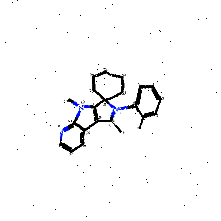 Cc1ccccc1N1[C@@H](C)c2c(n(C)c3ncccc23)C12CCCCC2